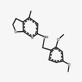 COc1ccc(CNc2cc(C)c3c(n2)OCC3)c(OC)c1